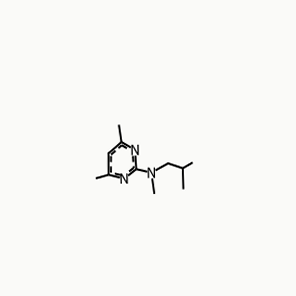 Cc1cc(C)nc(N(C)CC(C)C)n1